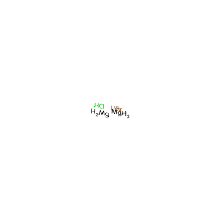 Br.Cl.[MgH2].[MgH2]